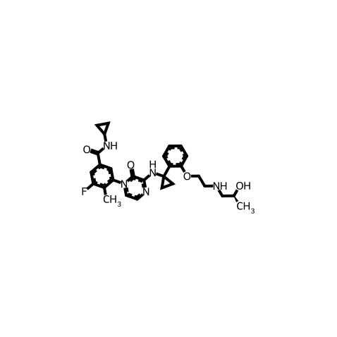 Cc1c(F)cc(C(=O)NC2CC2)cc1-n1ccnc(NC2(c3ccccc3OCCNC[C@H](C)O)CC2)c1=O